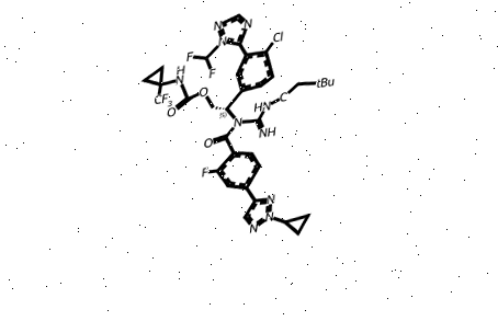 CC(C)(C)CCNC(=N)N(C(=O)c1ccc(-c2cnn(C3CC3)n2)cc1F)[C@H](COC(=O)NC1(C(F)(F)F)CC1)c1ccc(Cl)c(-c2ncnn2C(F)F)c1